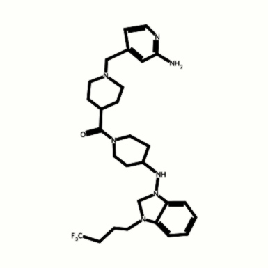 Nc1cc(CN2CCC(C(=O)N3CCC(NN4CN(CCCC(F)(F)F)c5ccccc54)CC3)CC2)ccn1